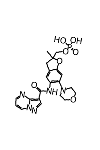 CC1(COP(=O)(O)O)Cc2cc(NC(=O)c3cnn4cccnc34)c(N3CCOCC3)cc2O1